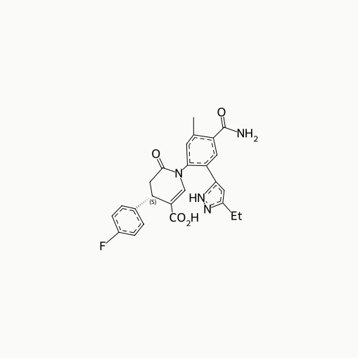 CCc1cc(-c2cc(C(N)=O)c(C)cc2N2C=C(C(=O)O)[C@H](c3ccc(F)cc3)CC2=O)[nH]n1